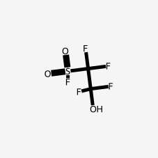 O=S(=O)(F)C(F)(F)C(O)(F)F